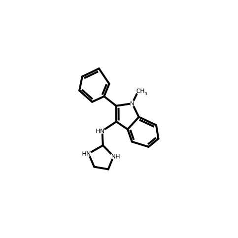 Cn1c(-c2ccccc2)c(NC2NCCN2)c2ccccc21